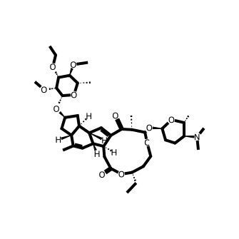 CCO[C@@H]1[C@@H](OC)[C@H](C)O[C@H](O[C@H]2C[C@H]3[C@@H]4C=C5C(=O)[C@H](C)[C@@H](O[C@@H]6CC[C@H](N(C)C)[C@@H](C)O6)CCC[C@H](CC)OC(=O)C[C@H]5[C@@H]4C=C(C)[C@@H]3C2)[C@@H]1OC